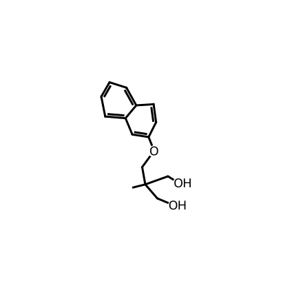 CC(CO)(CO)COc1ccc2ccccc2c1